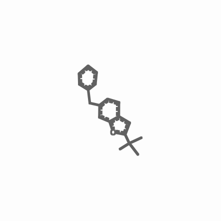 CC(C)(C)c1cc2ccc(Cc3ccccc3)cc2o1